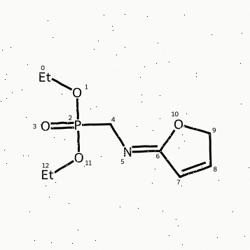 CCOP(=O)(CN=C1C=CCO1)OCC